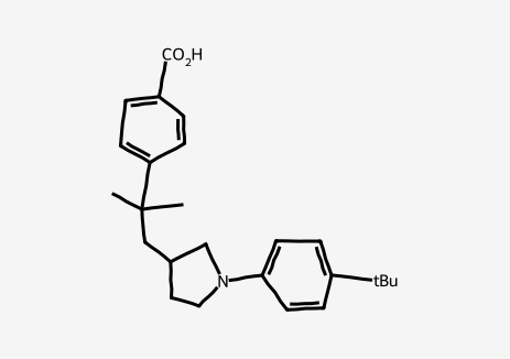 CC(C)(C)c1ccc(N2CCC(CC(C)(C)c3ccc(C(=O)O)cc3)C2)cc1